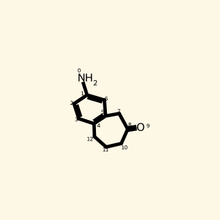 Nc1ccc2c(c1)CC(=O)CCC2